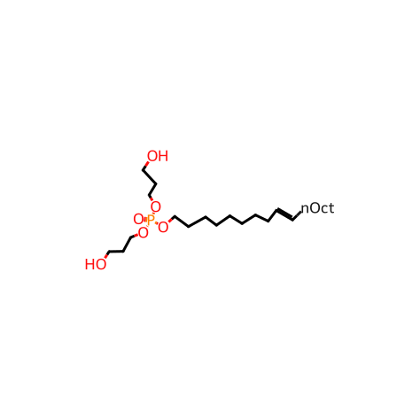 CCCCCCCCC=CCCCCCCCCOP(=O)(OCCCO)OCCCO